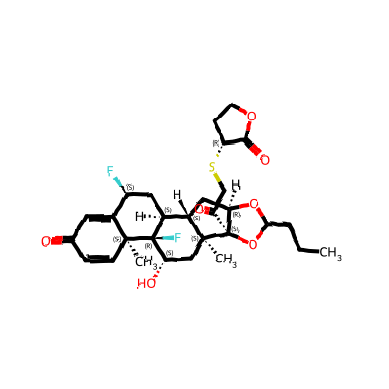 CCCC1O[C@@H]2C[C@H]3[C@@H]4C[C@H](F)C5=CC(=O)C=C[C@]5(C)[C@@]4(F)[C@@H](O)C[C@]3(C)[C@]2(C(=O)CS[C@@H]2CCOC2=O)O1